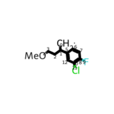 [CH2]C(CCOC)c1ccc(F)c(Cl)c1